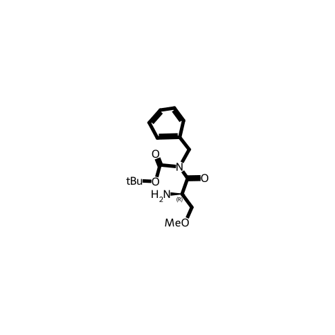 COC[C@@H](N)C(=O)N(Cc1ccccc1)C(=O)OC(C)(C)C